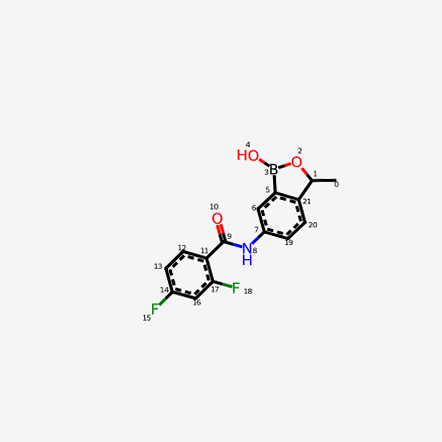 CC1OB(O)c2cc(NC(=O)c3ccc(F)cc3F)ccc21